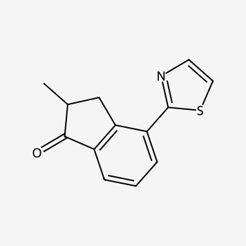 CC1Cc2c(cccc2-c2nccs2)C1=O